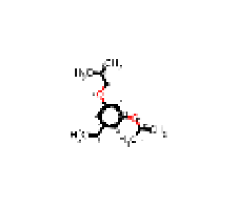 C=[C]c1cc(OCC(C)C)cc(OC(C)C)c1